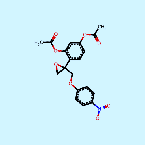 CC(=O)Oc1ccc(C2(COc3ccc([N+](=O)[O-])cc3)CO2)c(OC(C)=O)c1